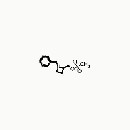 CS(=O)(=O)OCC1CCN1Cc1ccccc1